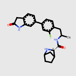 N#CC(Cc1ccc(-c2ccc3c(c2)NC(=O)C3)cc1F)NC(=O)[C@H]1NC2CCC1C2